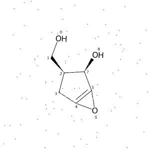 OC[C@@H]1CC2=C(O2)[C@@H]1O